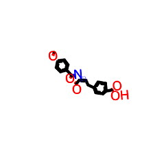 COc1ccc(C2=N/C(=C/Cc3ccc(C(=O)O)cc3)C(=O)O2)cc1